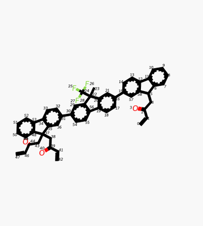 C=CC(=O)CC1c2ccccc2-c2ccc(-c3ccc4c(c3)C(C)(C(F)(F)F)c3cc(-c5ccc6c(c5)C(CC(=O)C=C)(CC(=O)C=C)c5ccccc5-6)ccc3-4)cc21